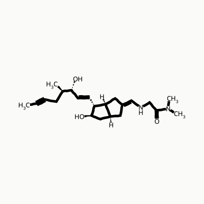 CC#CC[C@@H](C)[C@H](O)/C=C/[C@@H]1[C@H]2C/C(=C/NCC(=O)N(C)C)C[C@H]2C[C@H]1O